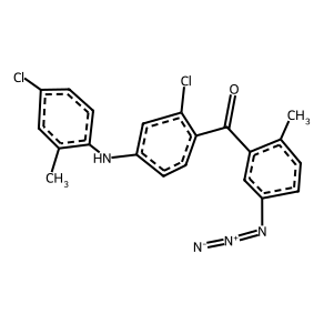 Cc1cc(Cl)ccc1Nc1ccc(C(=O)c2cc(N=[N+]=[N-])ccc2C)c(Cl)c1